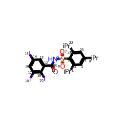 CC(C)c1cc(C(C)C)c(S(=O)(=O)NC(=O)c2cc(I)cc(I)c2I)c(C(C)C)c1